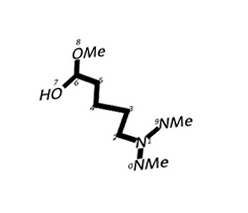 CNN(CCCCC(O)OC)NC